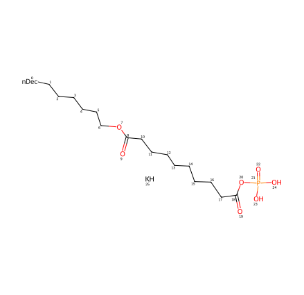 CCCCCCCCCCCCCCCCOC(=O)CCCCCCCCC(=O)OP(=O)(O)O.[KH]